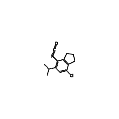 CC(C)c1cc(Cl)c2c(c1N=C=O)CCC2